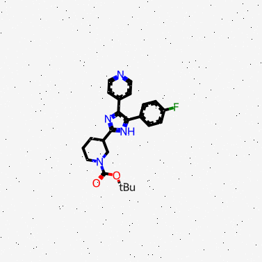 CC(C)(C)OC(=O)N1CCCC(c2nc(-c3ccncc3)c(-c3ccc(F)cc3)[nH]2)C1